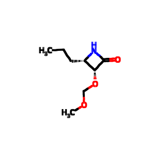 CCC[C@@H]1NC(=O)[C@@H]1OCOC